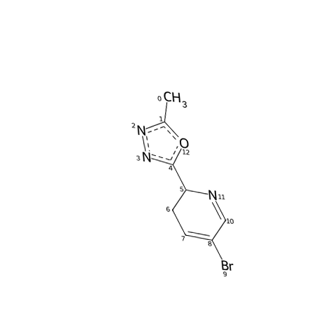 Cc1nnc(C2CC=C(Br)C=N2)o1